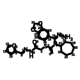 C=C(SCC(=O)N/N=C/c1ccco1)N(/C(=N\N)c1ccc2c(c1)OCO2)C1CCCCCC1